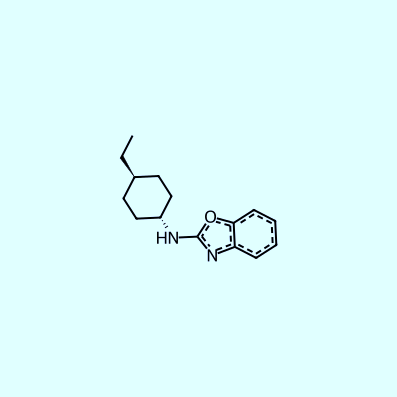 CC[C@H]1CC[C@H](Nc2nc3ccccc3o2)CC1